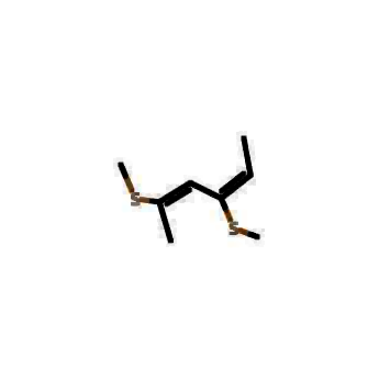 C/C=C(\C=C(/C)SC)SC